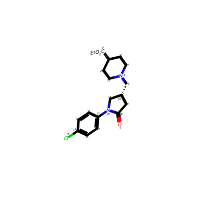 CCOC(=O)C1CCN(C[C@@H]2CC(=O)N(c3ccc(Cl)cc3)C2)CC1